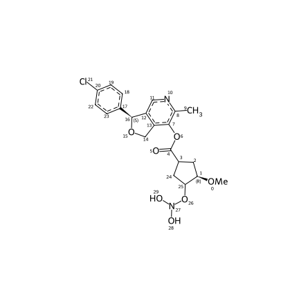 CO[C@@H]1CC(C(=O)Oc2c(C)ncc3c2CO[C@H]3c2ccc(Cl)cc2)CC1ON(O)O